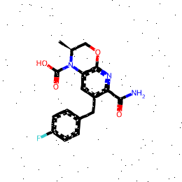 C[C@H]1COc2nc(C(N)=O)c(Cc3ccc(F)cc3)cc2N1C(=O)O